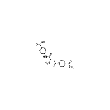 CC(=O)N1CCN(C(=O)C[C@H](N)C(=O)Nc2ccc(C(=O)O)cc2)CC1